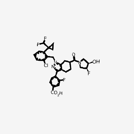 O=C(O)c1ccc(-c2nn(Cc3c(Cl)cccc3C3(C(F)F)CC3)c3c2CCC(C(=O)N2C[C@@H](O)[C@@H](F)C2)C3)c(F)c1